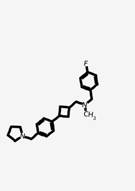 CN(Cc1ccc(F)cc1)CC1CC(c2ccc(CN3CCCC3)cc2)C1